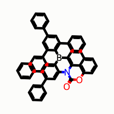 O=C1Oc2cccc3ccc4c(c23)N1c1cc(-c2ccccc2)c(-c2ccccc2)cc1B4c1c(-c2ccccc2)cc(-c2ccccc2)cc1-c1ccccc1